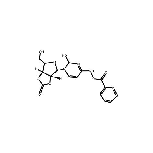 O=C1O[C@@H]2[C@H](O1)[C@@H](CO)O[C@H]2N1C=CC(NOC(=O)c2ccccn2)=NC1O